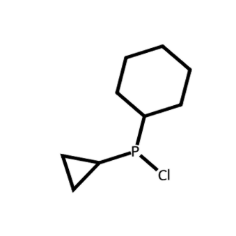 ClP(C1CCCCC1)C1CC1